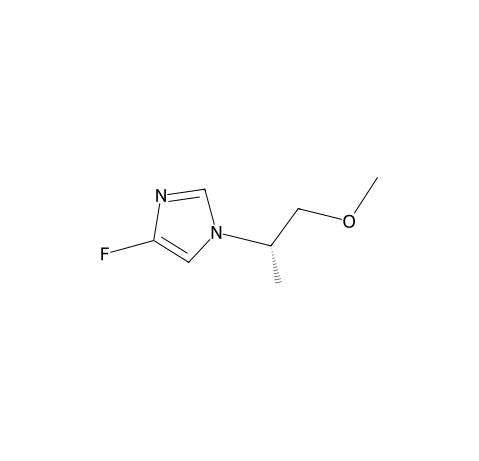 COC[C@H](C)n1cnc(F)c1